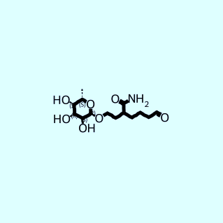 C[C@@H]1O[C@@H](OCCC(CCCC=O)C(N)=O)[C@@H](O)[C@H](O)[C@@H]1O